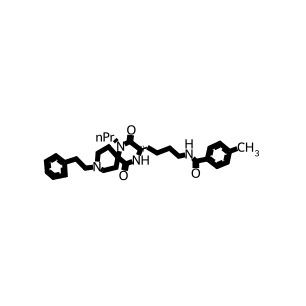 CCCN1C(=O)[C@H](CCCCNC(=O)c2ccc(C)cc2)NC(=O)C12CCN(CCc1ccccc1)CC2